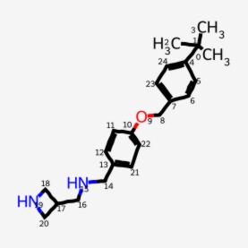 CC(C)(C)c1ccc(COc2ccc(CNCC3CNC3)cc2)cc1